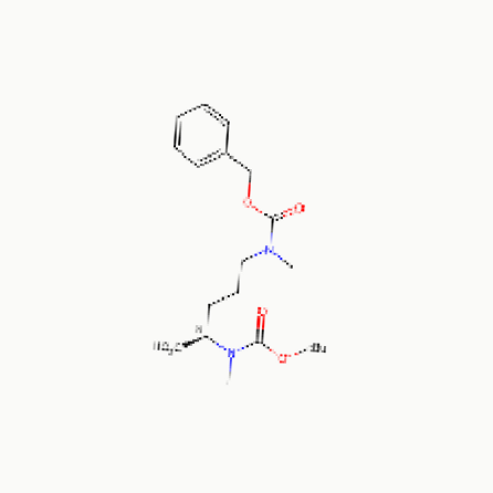 CN(CCC[C@H](C(=O)O)N(C)C(=O)OC(C)(C)C)C(=O)OCc1ccccc1